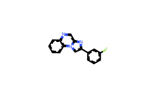 Fc1cccc(-c2cn3c(cnc4ccccc43)n2)c1